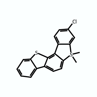 CS1(C)c2cc(Cl)ccc2-c2c1ccc1c2sc2ccccc21